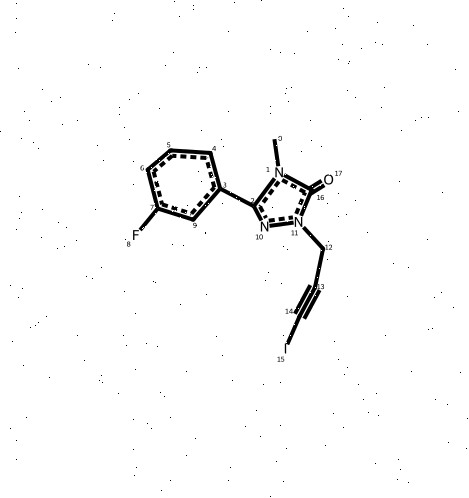 Cn1c(-c2cccc(F)c2)nn(CC#CI)c1=O